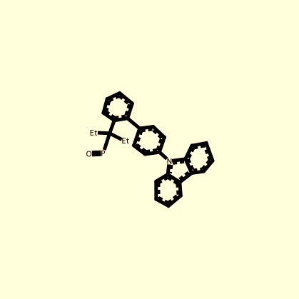 CCC(CC)(P=O)c1ccccc1-c1ccc(-n2c3ccccc3c3ccccc32)cc1